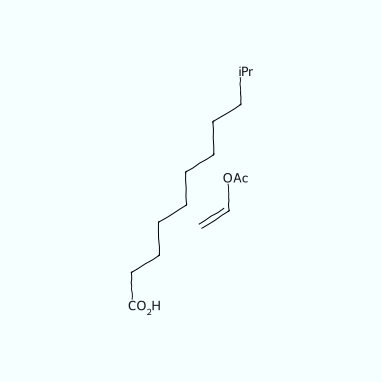 C=COC(C)=O.CC(C)CCCCCCCCC(=O)O